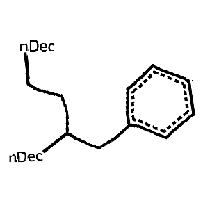 CCCCCCCCCCCCC(CCCCCCCCCC)Cc1cc[c]cc1